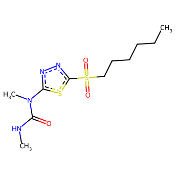 CCCCCCS(=O)(=O)c1nnc(N(C)C(=O)NC)s1